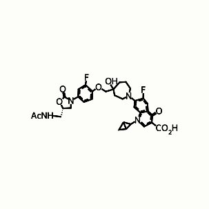 CC(=O)NC[C@H]1CN(c2ccc(OCC3(O)CCCN(c4cc5c(cc4F)c(=O)c(C(=O)O)cn5C4C5CC54)CC3)c(F)c2)C(=O)O1